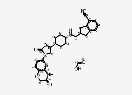 N#Cc1cccc2c1CC(CN[C@H]1CC[C@H](C3CN(c4ccc5c(n4)NC(=O)CO5)C(=O)O3)CC1)C2.O=CO